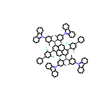 Cc1cc(-n2c3ccccc3c3ccccc32)cc(C)c1B(c1c(C)cc(-n2c3ccccc3c3ccccc32)cc1C)c1cc(-c2c(F)cc(-c3ccccc3)cc2F)c2ccc3c(B(c4c(C)cc(-n5c6ccccc6c6ccccc65)cc4C)c4c(C)cc(-n5c6ccccc6c6ccccc65)cc4C)cc(-c4c(F)cc(-c5ccccc5)cc4F)c4ccc1c2c34